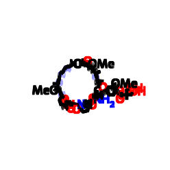 CO[C@H]1/C=C2\CC[C@@H](C)[C@@](O)(O2)C(=O)C(=O)N2CCCC[C@H]2C(=O)O[C@](N)([C@H](C)C[C@@H]2CC[C@@H](OC(=O)C(C)(CO)CO)[C@H](OC)C2)CC(=O)[C@H](C)/C=C(\C)[C@@H](C)[C@@H](OC)C(=O)[C@H](C)C[C@H](C)/C=C/C=C/C=C/1C